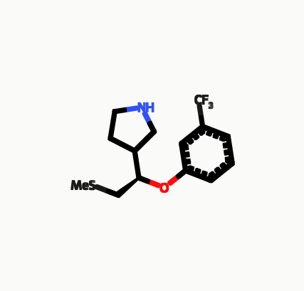 CSC[C@H](Oc1cccc(C(F)(F)F)c1)C1CCNC1